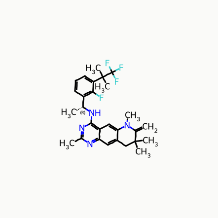 C=C1N(C)c2cc3c(N[C@H](C)c4cccc(C(C)(C)C(F)(F)F)c4F)nc(C)nc3cc2CC1(C)C